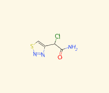 NC(=O)C(Cl)c1csnn1